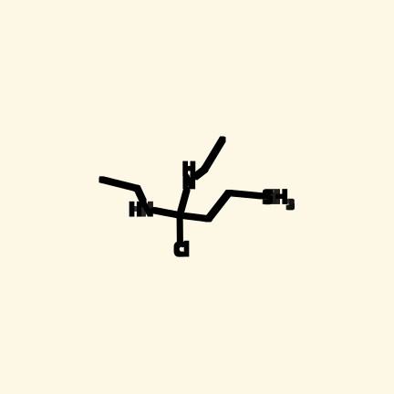 CCNC(Cl)(CC[SiH3])NCC